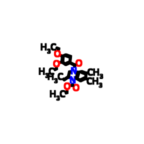 CCOC(=O)N1c2cc(C)c(C)cc2N(C(=O)c2ccc(OCC)c(OCC)c2)CC1CC